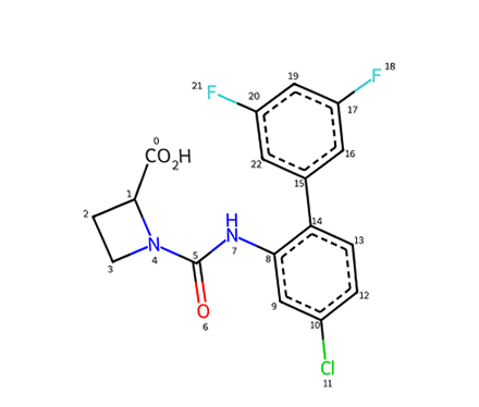 O=C(O)C1CCN1C(=O)Nc1cc(Cl)ccc1-c1cc(F)cc(F)c1